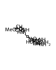 COCC(C)(C)c1ccc2c(c1)NC(CCC1CC(N(C[C@H]3O[C@@H](N4CNC5C(N)NCNC54)[C@H](O)[C@@H]3O)C(C)C)C1)N2